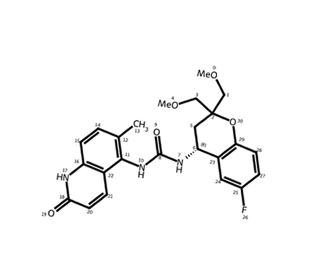 COCC1(COC)C[C@@H](NC(=O)Nc2c(C)ccc3[nH]c(=O)ccc23)c2cc(F)ccc2O1